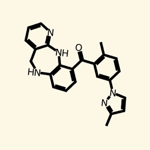 Cc1ccn(-c2ccc(C)c(C(=O)c3cccc4c3Nc3ncccc3CN4)c2)n1